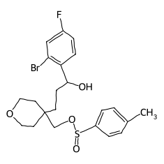 Cc1ccc(S(=O)OCC2(CCC(O)c3ccc(F)cc3Br)CCOCC2)cc1